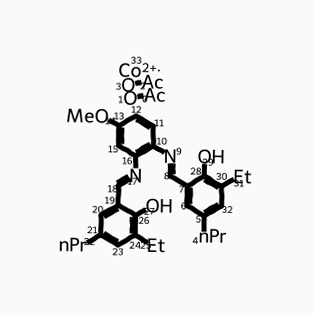 CC(=O)[O-].CC(=O)[O-].CCCc1cc(C=Nc2ccc(OC)cc2N=Cc2cc(CCC)cc(CC)c2O)c(O)c(CC)c1.[Co+2]